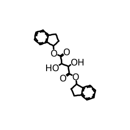 O=C(OC1CCc2ccccc21)C(O)C(O)C(=O)OC1CCc2ccccc21